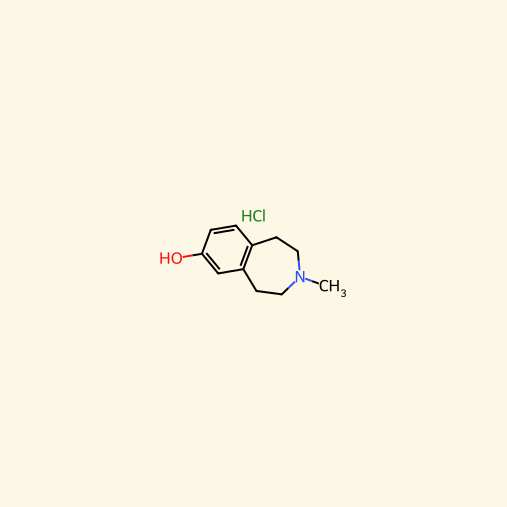 CN1CCc2ccc(O)cc2CC1.Cl